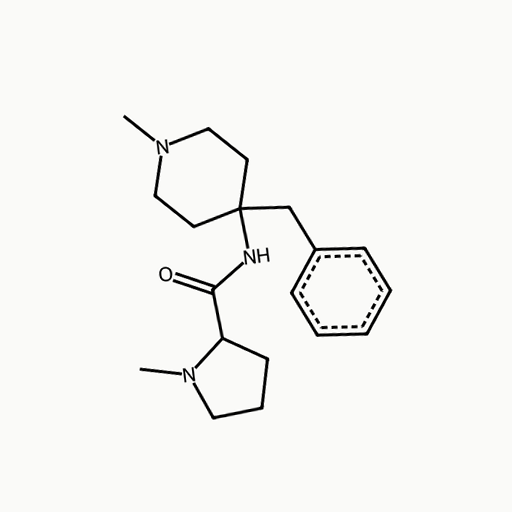 CN1CCC(Cc2ccccc2)(NC(=O)C2CCCN2C)CC1